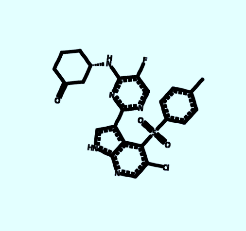 Cc1ccc(S(=O)(=O)c2c(Cl)cnc3[nH]cc(-c4ncc(F)c(N[C@H]5CCCC(=O)C5)n4)c23)cc1